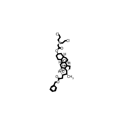 C[C@H](CCC(=O)OCc1ccccc1)[C@H]1CC[C@H]2[C@@H]3CC[C@@H]4C[C@H](OC(=O)CN(CCCl)CCCl)CC[C@]4(C)[C@H]3C[C@H](O)[C@]12C